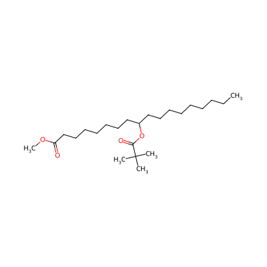 CCCCCCCCCC(CCCCCCCC(=O)OC)OC(=O)C(C)(C)C